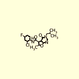 Cc1oc2ncn(CC(C)C)c(=O)c2c1C(=O)Nc1ccc(F)cc1Cl